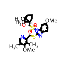 COc1ccc2nc(SCc3ncc(C)c(OC)c3C)n(S(=O)(=O)C[C@@]34CCC(CC3=O)C4(C)C)c2c1